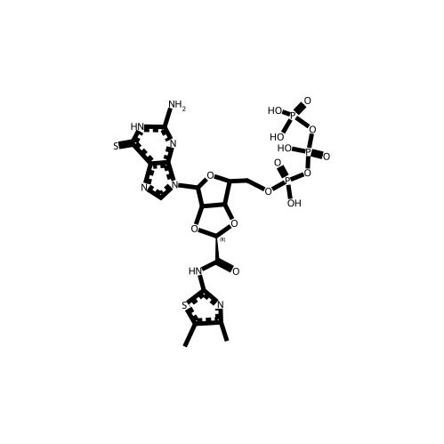 Cc1nc(NC(=O)[C@@H]2OC3C(COP(=O)(O)OP(=O)(O)OP(=O)(O)O)OC(n4cnc5c(=S)[nH]c(N)nc54)C3O2)sc1C